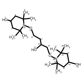 CC1(C)CC(O)CC(C)(C)N1OCCC(O)CON1C(C)(C)CC(O)CC1(C)C